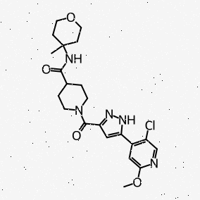 COc1cc(-c2cc(C(=O)N3CCC(C(=O)NC4(C)CCOCC4)CC3)n[nH]2)c(Cl)cn1